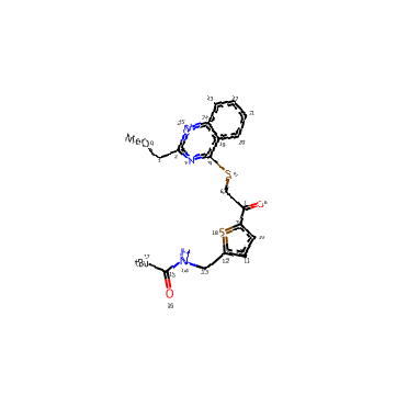 COCc1nc(SCC(=O)c2ccc(CNC(=O)C(C)(C)C)s2)c2ccccc2n1